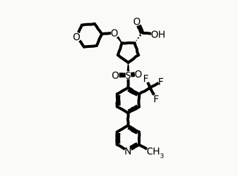 Cc1cc(-c2ccc(S(=O)(=O)[C@H]3C[C@@H](OC4CCOCC4)[C@H](C(=O)O)C3)c(C(F)(F)F)c2)ccn1